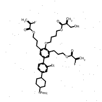 C=C(F)C(=O)OCCCc1cc(-c2ccc(C3CCC(CCCCC)CC3)cc2CC)cc(CCCOC(=O)C(=C)F)c1OCCCCOC(=O)C(=C)CO